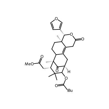 CCC(C)C(=O)OC1[C@@H]2CC3=C4CC(=O)O[C@@H](c5ccoc5)[C@]4(C)CCC3[C@@](C)(C2=O)[C@@H](CC(=O)OC)C1(C)C